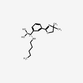 CCCCCN[C@H](B(O)O)c1cccc(C2=NC(C)(C)CO2)c1